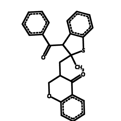 CC1(CC2COc3ccccc3C2=O)Sc2ccccc2C1C(=O)c1ccccc1